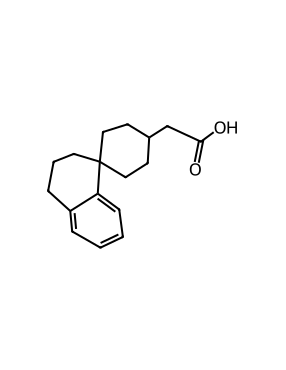 O=C(O)CC1CCC2(CCCc3ccccc32)CC1